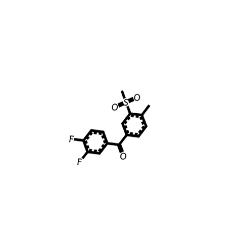 Cc1ccc(C(=O)c2ccc(F)c(F)c2)cc1S(C)(=O)=O